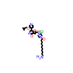 C[C@@H]1CN(C(=O)CCCCCCCCCCN)CCN1Cc1cc2c(=O)n(C)cc(-c3ccncc3OCC3CC3)c2o1.Cl